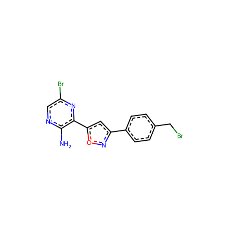 Nc1ncc(Br)nc1-c1cc(-c2ccc(CBr)cc2)no1